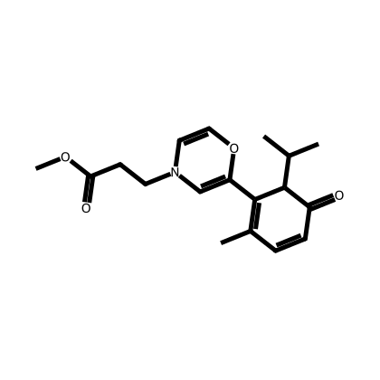 COC(=O)CCN1C=COC(C2=C(C)C=CC(=O)C2C(C)C)=C1